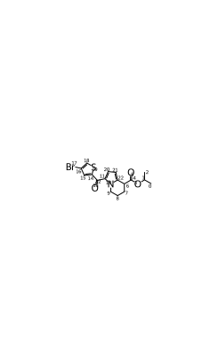 CC(C)OC(=O)C1CCCn2c(C(=O)c3cc(Br)cs3)ccc21